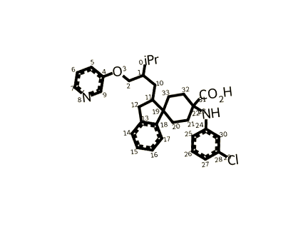 CC(C)C(COc1cccnc1)CC1Cc2ccccc2C12CCC(Nc1cccc(Cl)c1)(C(=O)O)CC2